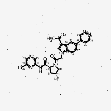 CC(=O)c1cn(CC(=O)N2C[C@H](F)C[C@H]2C(=O)Nc2cncc(Cl)n2)c2ccc(-c3ccnnc3)cc12